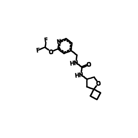 O=C(NCc1ccnc(OC(F)F)c1)NC1COC2(CCC2)C1